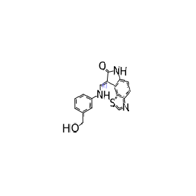 O=C1Nc2ccc3ncsc3c2/C1=C\Nc1cccc(CO)c1